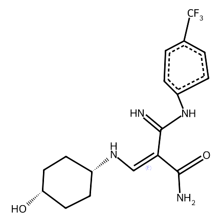 N=C(Nc1ccc(C(F)(F)F)cc1)/C(=C\N[C@H]1CC[C@@H](O)CC1)C(N)=O